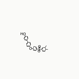 CC1C=CC(S(=O)(=O)C2=CCC(Oc3ccc(-c4ccc(O)cc4)cc3)C=C2)=CC1C